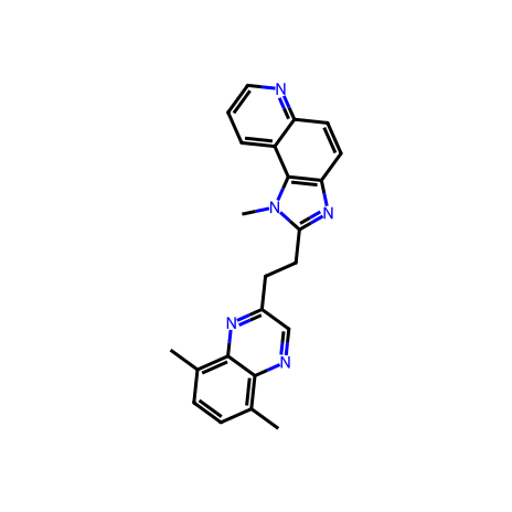 Cc1ccc(C)c2nc(CCc3nc4ccc5ncccc5c4n3C)cnc12